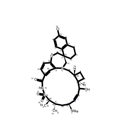 CN[C@@H]1/C=C\C(O)[C@@H]2CC[C@H]2CN2C[C@@]3(CCCc4cc(Cl)ccc43)COc3ccc(cc32)C(=O)NS(=O)(=O)[C@H](C)[C@@H](C)C1